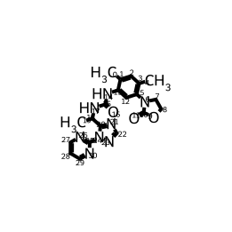 Cc1cc(C)c(N2CCOC2=O)cc1NC(=O)NC(C)c1ncnn1-c1ncccn1